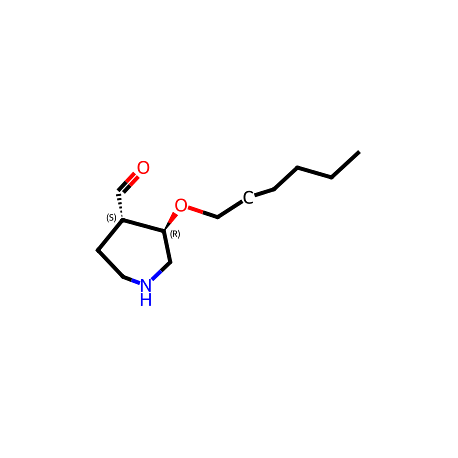 CCCCCCO[C@H]1CNCC[C@@H]1C=O